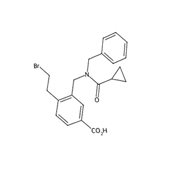 O=C(O)c1ccc(CCBr)c(CN(Cc2ccccc2)C(=O)C2CC2)c1